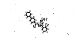 O=C(NN=C(C=NO)c1ccccc1Br)c1ccc(-c2ccccc2)cc1